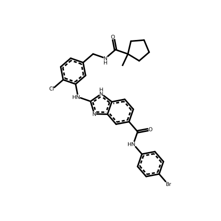 CC1(C(=O)NCc2ccc(Cl)c(Nc3nc4cc(C(=O)Nc5ccc(Br)cc5)ccc4[nH]3)c2)CCCC1